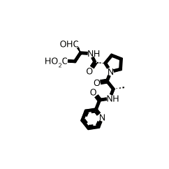 C[C@H](NC(=O)c1ccccn1)C(=O)N1CCC[C@H]1C(=O)N[C@H](C=O)CC(=O)O